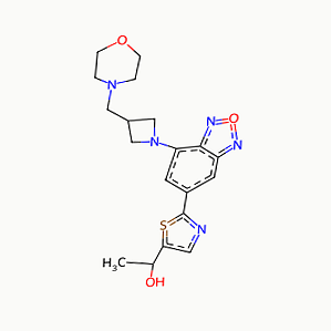 CC(O)c1cnc(-c2cc(N3CC(CN4CCOCC4)C3)c3nonc3c2)s1